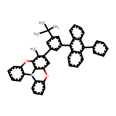 Cc1c(-c2cc(-c3c4ccccc4c(-c4ccccc4)c4ccccc34)cc(C(C)(C)C)c2)cc2c3c1Oc1ccccc1B3c1ccccc1O2